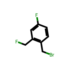 FCc1cc(F)ccc1CBr